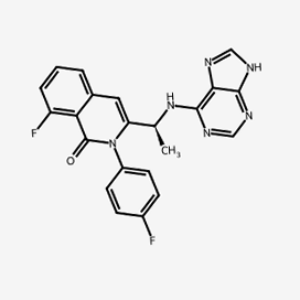 C[C@H](Nc1ncnc2[nH]cnc12)c1cc2cccc(F)c2c(=O)n1-c1ccc(F)cc1